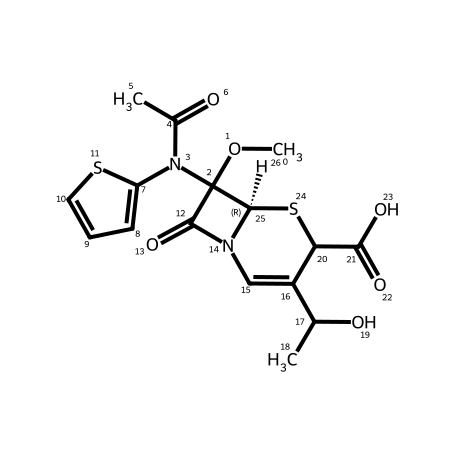 COC1(N(C(C)=O)c2cccs2)C(=O)N2C=C(C(C)O)C(C(=O)O)S[C@@H]21